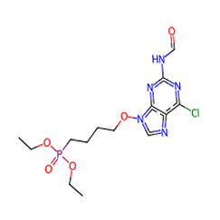 CCOP(=O)(CCCCOn1cnc2c(Cl)nc(NC=O)nc21)OCC